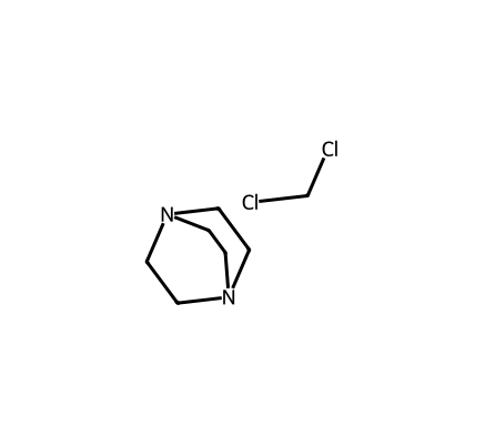 C1CN2CCN1CC2.ClCCl